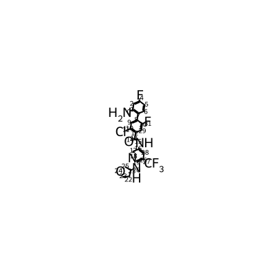 Nc1cc(F)ccc1-c1cc(Cl)c(C(=O)Nc2cnc(NC3CCOC3)c(C(F)(F)F)c2)cc1F